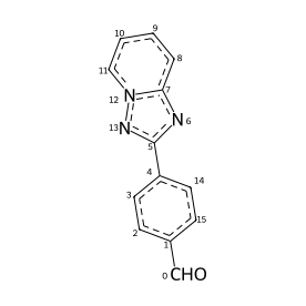 O=Cc1ccc(-c2nc3ccccn3n2)cc1